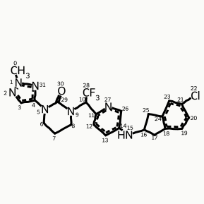 Cn1ncc(N2CCCN(C(c3ccc(NC4Cc5ccc(Cl)cc5C4)cn3)C(F)(F)F)C2=O)n1